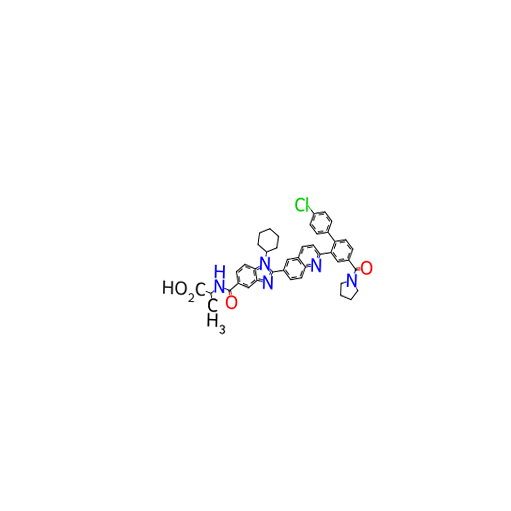 CC(NC(=O)c1ccc2c(c1)nc(-c1ccc3nc(-c4cc(C(=O)N5CCCC5)ccc4-c4ccc(Cl)cc4)ccc3c1)n2C1CCCCC1)C(=O)O